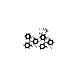 Cc1ccccc1N(c1ccccc1)c1ccccc1C.Cc1ccccc1N(c1ccccc1)c1ccccc1C.O=C(O)CC(=O)O